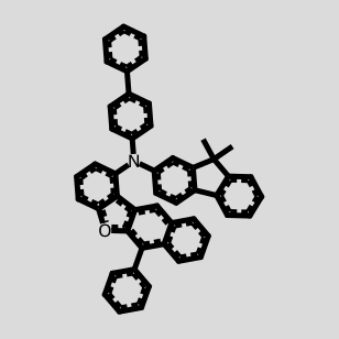 CC1(C)c2ccccc2-c2ccc(N(c3ccc(-c4ccccc4)cc3)c3cccc4oc5c(-c6ccccc6)c6ccccc6cc5c34)cc21